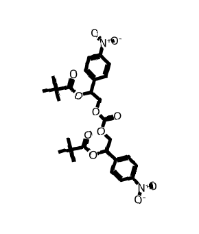 CC(C)(C)C(=O)OC(COC(=O)OCC(OC(=O)C(C)(C)C)c1ccc([N+](=O)[O-])cc1)c1ccc([N+](=O)[O-])cc1